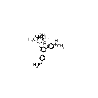 CPc1ccc(-c2cc(CC3CC(C)(C)N(O)C(C)(C)C3)cc(-c3ccc(CP)cc3)c2)cc1